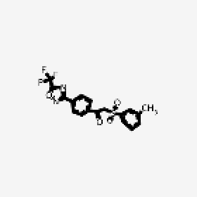 Cc1cccc(S(=O)(=O)CC(=O)c2ccc(-c3noc(C(F)(F)F)n3)cc2)c1